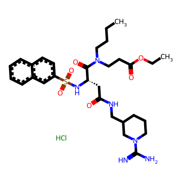 CCCCN(CCC(=O)OCC)C(=O)[C@H](CC(=O)NCC1CCCN(C(=N)N)C1)NS(=O)(=O)c1ccc2ccccc2c1.Cl